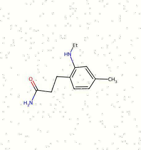 CCNc1cc(C)ccc1CCC(N)=O